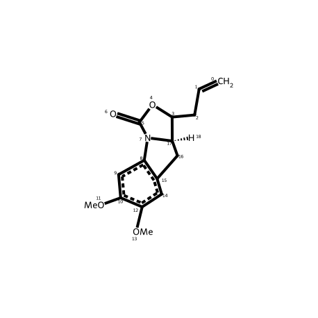 C=CCC1OC(=O)N2c3cc(OC)c(OC)cc3C[C@H]12